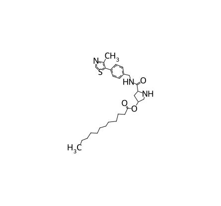 CCCCCCCCCCCC(=O)OC1CNC(C(=O)NCc2ccc(-c3scnc3C)cc2)C1